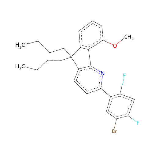 CCCCC1(CCCC)c2ccc(-c3cc(Br)c(F)cc3F)nc2-c2c(OC)cccc21